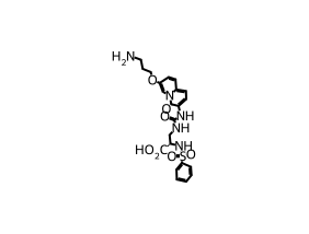 NCCCOc1ccc2ccc(NC(=O)NC[C@H](NS(=O)(=O)c3ccccc3)C(=O)O)c(=O)n2c1